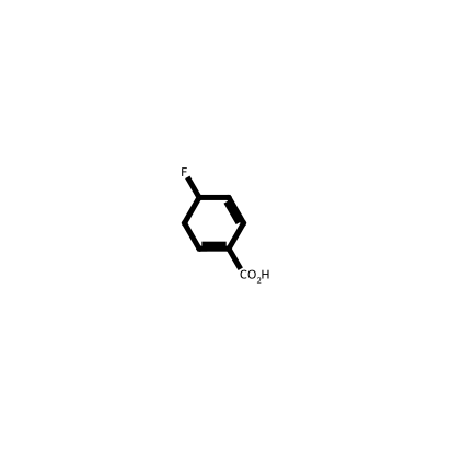 O=C(O)C1=CCC(F)C=C1